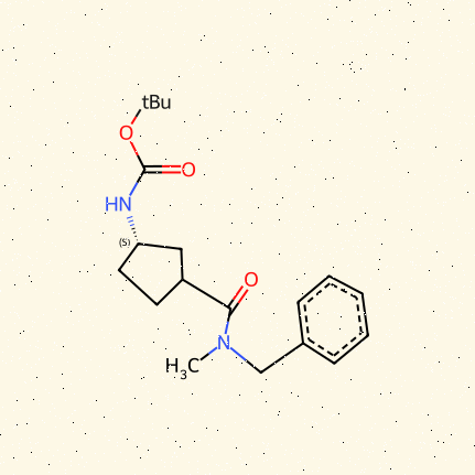 CN(Cc1ccccc1)C(=O)C1CC[C@H](NC(=O)OC(C)(C)C)C1